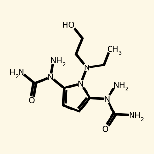 CCN(CCO)n1c(N(N)C(N)=O)ccc1N(N)C(N)=O